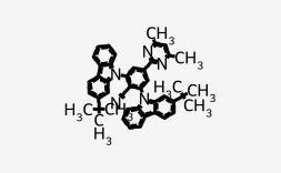 Cc1cc(C)nc(-c2cc(-n3c4ccccc4c4ccc(C(C)(C)C)cc43)c(C#N)c(-n3c4ccccc4c4ccc(C(C)(C)C)cc43)c2)n1